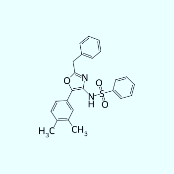 Cc1ccc(-c2oc(Cc3ccccc3)nc2NS(=O)(=O)c2ccccc2)cc1C